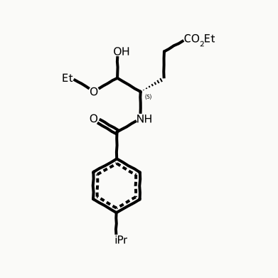 CCOC(=O)CC[C@H](NC(=O)c1ccc(C(C)C)cc1)C(O)OCC